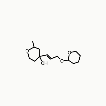 CC1CC(O)(C=CCOC2CCCCO2)CCO1